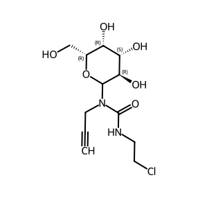 C#CCN(C(=O)NCCCl)C1O[C@H](CO)[C@H](O)[C@H](O)[C@H]1O